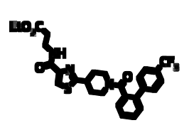 CCOC(=O)CCNC(=O)c1csc(C2CCN(C(=O)c3ccccc3-c3ccc(C(F)(F)F)cc3)CC2)n1